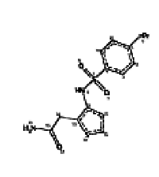 CCCc1ccc(S(=O)(=O)Nc2ccsc2CC(N)=O)cc1